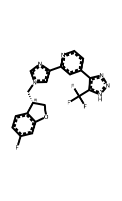 Fc1ccc2c(c1)OC[C@H]2Cn1cnc(-c2cc(-c3nn[nH]c3C(F)(F)F)ccn2)c1